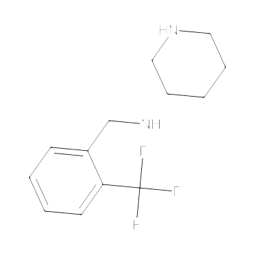 FC(F)(F)c1ccccc1CN[C@H]1CCCNC1